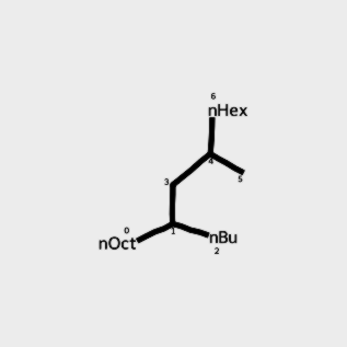 CCCCCCCCC(CCCC)CC(C)CCCCCC